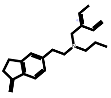 C=C/C(=C\C)CN(CCC)CCc1ccc2c(c1)CCC2=C